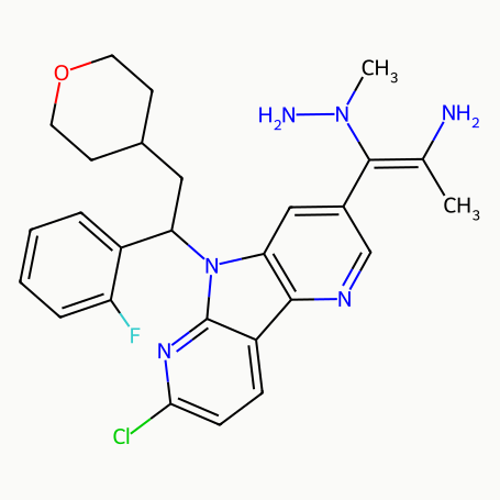 C/C(N)=C(\c1cnc2c3ccc(Cl)nc3n(C(CC3CCOCC3)c3ccccc3F)c2c1)N(C)N